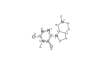 CN1CCC2CCN(c3nnc(Cl)n(C)c3=O)C2C1